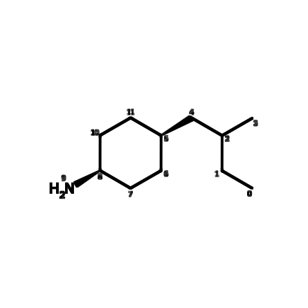 CCC(C)C[C@H]1CC[C@@H](N)CC1